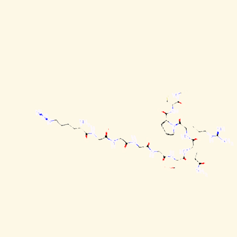 CNC(=O)[C@H](CS)NC(=O)[C@@H]1CCCN1C(=O)[C@H](CCCNC(=N)N)NC(=O)[C@H](CCC(N)=O)NC(=O)[C@H](CO)NC(=O)CNC(=O)CNC(=O)CNC(=O)CNC(=O)[C@@H](N)CCCCN=[N+]=[N-]